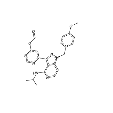 COc1ccc(Cn2nc(-c3cc(OC=O)ncn3)c3c(NC(C)C)nccc32)cc1